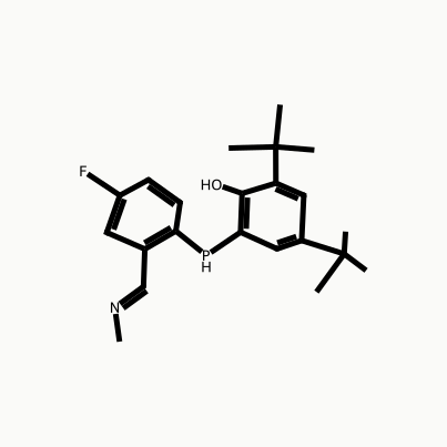 C/N=C/c1cc(F)ccc1Pc1cc(C(C)(C)C)cc(C(C)(C)C)c1O